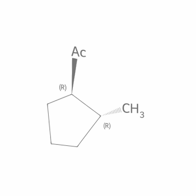 CC(=O)[C@@H]1CCC[C@H]1C